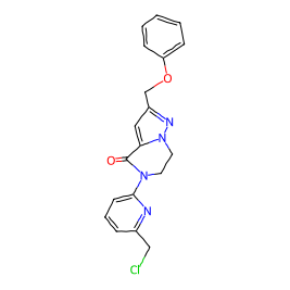 O=C1c2cc(COc3ccccc3)nn2CCN1c1cccc(CCl)n1